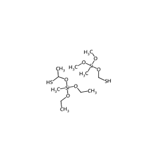 CCO[Si](C)(OCC)OC(C)S.CO[Si](C)(OC)OCS